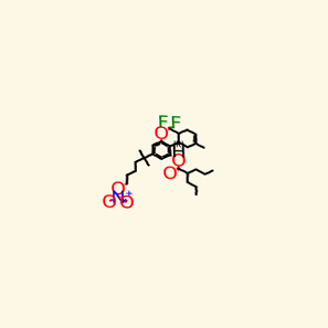 CCCC(CCC)C(=O)Oc1cc(C(C)(C)CCCCO[N+](=O)[O-])cc2c1[C@@H]1CC(C)=CCC1C(F)(F)O2